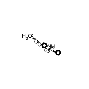 CSCCOCOc1ccc(NC(=O)OCc2ccccc2)c(Cl)c1